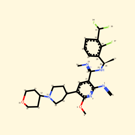 C=Nc1nc(OC)c(C2CCN(C3CCOCC3)CC2)cc1/C(=N\C)N[C@H](C)c1cccc(C(F)F)c1F